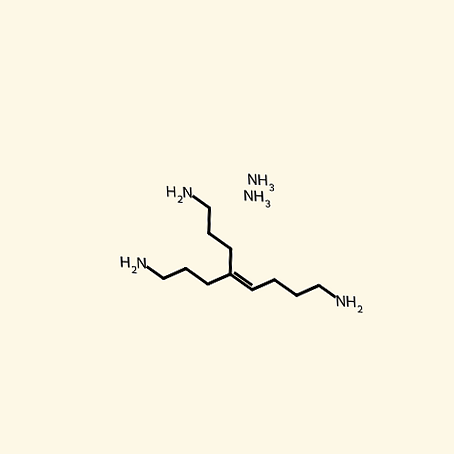 N.N.NCCCC=C(CCCN)CCCN